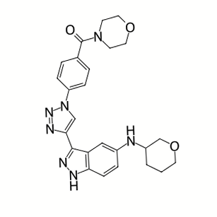 O=C(c1ccc(-n2cc(-c3n[nH]c4ccc(NC5CCCOC5)cc34)nn2)cc1)N1CCOCC1